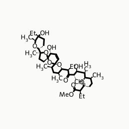 CC[C@@H](C(=O)[C@@H](C)[C@@H](O)[C@H](C)[C@@H]1O[C@@H]([C@@H](CC)C(=O)OC)CC[C@@H]1C)[C@H]1O[C@]2(C=C[C@@H](O)[C@]3(CC[C@@](C)([C@H]4CC[C@](O)(CC)[C@H](C)O4)O3)O2)[C@H](C)C[C@@H]1C